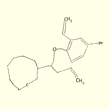 C=CCC(Oc1ccc(Br)cc1C=C)C1CCCCCCCC1